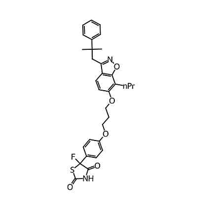 CCCc1c(OCCCOc2ccc(C3(F)SC(=O)NC3=O)cc2)ccc2c(CC(C)(C)c3ccccc3)noc12